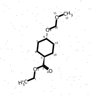 CCOC(=O)[C@H]1CC[C@H](OCOC)CC1